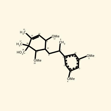 COc1cc(OC)cc(C(C)CC2C(OC)C=C(C)C(C)(C(=O)O)C2OC)c1